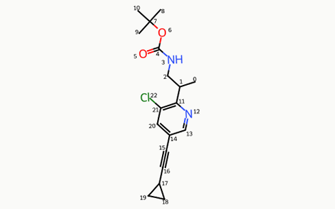 CC(CNC(=O)OC(C)(C)C)c1ncc(C#CC2CC2)cc1Cl